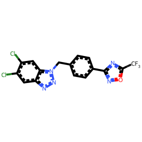 FC(F)(F)c1nc(-c2ccc(Cn3nnc4cc(Cl)c(Cl)cc43)cc2)no1